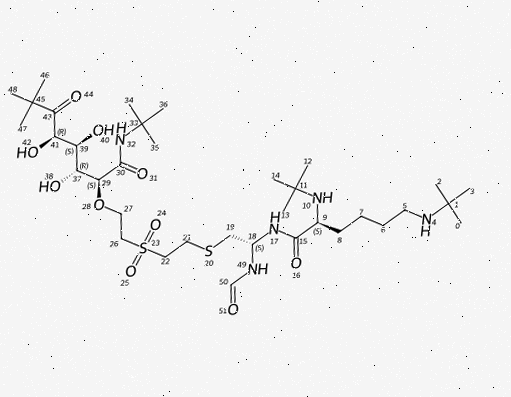 CC(C)(C)NCCCC[C@H](NC(C)(C)C)C(=O)N[C@@H](CSCCS(=O)(=O)CCO[C@H](C(=O)NC(C)(C)C)[C@H](O)[C@H](O)[C@@H](O)C(=O)C(C)(C)C)NC=O